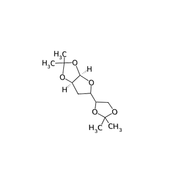 CC1(C)OCC(C2C[C@H]3OC(C)(C)O[C@H]3O2)O1